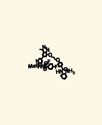 COc1ncc(-c2cc(OCCCOc3ccc(C(=O)Nc4ccccc4N)cc3)c3ncnc(C)c3c2)cc1NS(=O)(=O)c1ccc(F)cc1F